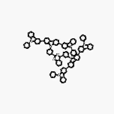 c1ccc(-n2c3ccccc3c3cc(-c4ccc5c6ccc(-c7ccc8c(c7)c7ccccc7n8-c7ccccc7)cc6n(-c6cccc(-c7nc(-c8cccc(-n9c%10cc(-c%11ccc%12c(c%11)c%11ccccc%11n%12-c%11ccccc%11)ccc%10c%10ccc(-c%11ccc%12c(c%11)c%11ccccc%11n%12-c%11ccccc%11)cc%109)c8)c8ccccc8n7)c6)c5c4)ccc32)cc1